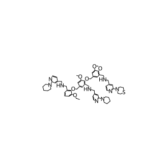 CCOc1cccc(CNCc2ccnc(N3CCCCC3)c2)c1OCc1cc(CNCc2ccnc(N3CCCCC3)c2)c(OCc2cc(CNCc3ccnc(N4CCSCC4)c3)c3c(c2)OCO3)c(OC)c1